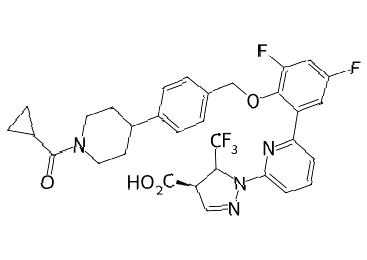 O=C(O)[C@@H]1C=NN(c2cccc(-c3cc(F)cc(F)c3OCc3ccc(C4CCN(C(=O)C5CC5)CC4)cc3)n2)C1C(F)(F)F